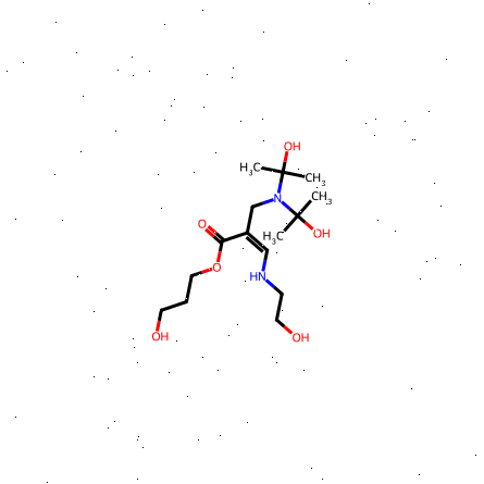 CC(C)(O)N(CC(=CNCCO)C(=O)OCCCO)C(C)(C)O